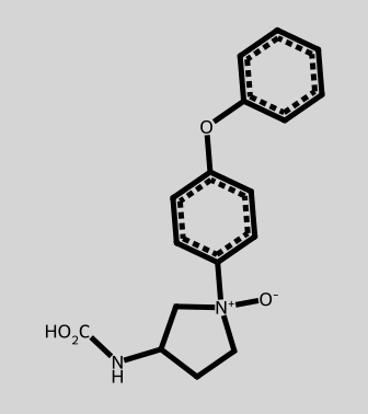 O=C(O)NC1CC[N+]([O-])(c2ccc(Oc3ccccc3)cc2)C1